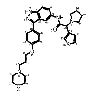 O=C(Nc1ccc2[nH]nc(-c3ccc(OCCCN4CCOCC4)cc3)c2c1)C(c1ccsc1)N1CCCC1